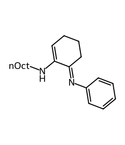 CCCCCCCCNC1=CCCCC1=Nc1ccccc1